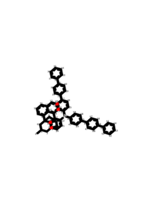 CC1CC2CC3CC(c4cccc5cccc(-c6ccccc6N(c6ccc(-c7ccc(-c8ccccc8)cc7)cc6)c6ccc(-c7ccc(-c8ccccc8)cc7)cc6)c45)(C1)C23